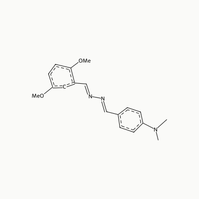 COc1ccc(OC)c(/C=N/N=C/c2ccc(N(C)C)cc2)c1